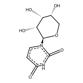 O=c1ccn([C@@H]2OC[C@@H](O)[C@@H](O)[C@H]2O)c(=O)[nH]1